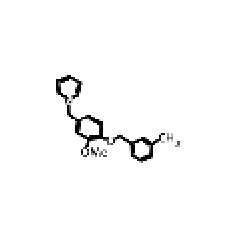 COc1cc(CN2C=CC=CC2)ccc1OCc1cccc(C)c1